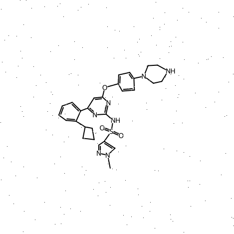 Cn1cc(S(=O)(=O)Nc2nc(Oc3ccc(N4CCNCC4)cc3)cc(-c3ccccc3C3CCC3)n2)cn1